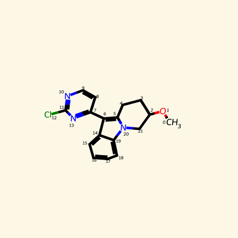 COC1CCc2c(-c3ccnc(Cl)n3)c3ccccc3n2C1